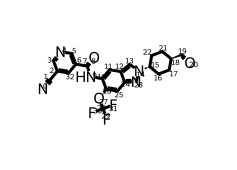 N#Cc1cncc(C(=O)Nc2cc3cn([C@H]4CC[C@H](C=O)CC4)nc3cc2OC(F)(F)F)c1